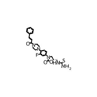 NC(=S)NC[C@H]1CN(c2ccc(N3CCN(C(=O)C=Cc4ccccc4)CC3)c(F)c2)C(=O)O1